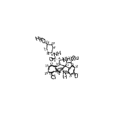 CC(C)(C)C[C@@H]1N[C@@H](C(=O)N[C@H]2CC[C@H](O)CC2)[C@H](c2cccc(Cl)c2F)C12C(=O)Nc1cc(Cl)ccc12